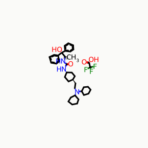 C[C@H](NC(=O)N[C@H]1CC[C@H](CCN(C2CCCCC2)C2CCCCC2)CC1)C(O)(c1ccccc1)c1ccccc1.O=C(O)C(F)(F)F